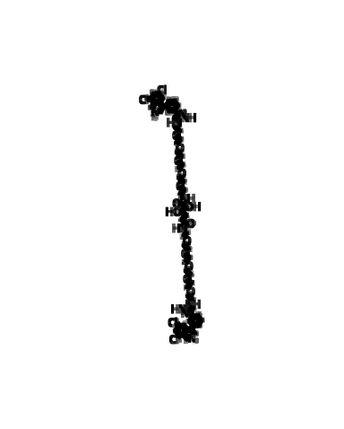 CN1Cc2c(Cl)cc(Cl)cc2C(c2cccc(/C(=C/NCCOCCOCCOCCOCCOCCNC(=O)CC[C@H](O)[C@@H](O)C(=O)NCCOCCOCCOCCOCCOCCN/C=C(\N=N)c3cccc(C4CN(C)Cc5c(Cl)cc(Cl)cc54)c3)N=N)c2)C1